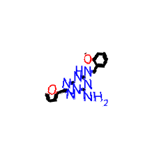 COc1ccccc1CNc1nc(N)n2nc(-c3ccco3)nc2n1